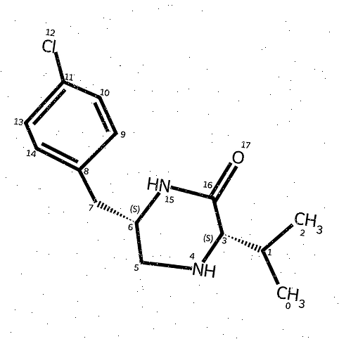 CC(C)[C@@H]1NC[C@H](Cc2ccc(Cl)cc2)NC1=O